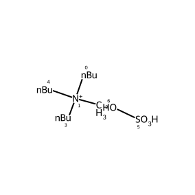 CCCC[N+](C)(CCCC)CCCC.O=S(=O)(O)O